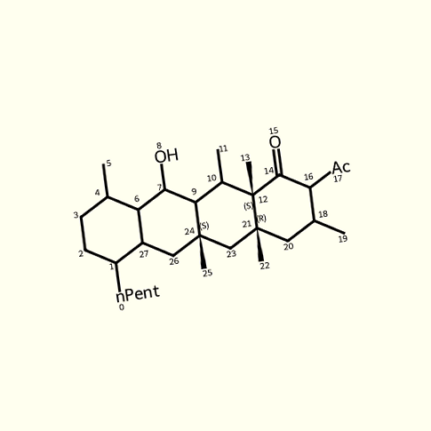 CCCCCC1CCC(C)C2C(O)C3C(C)[C@]4(C)C(=O)C(C(C)=O)C(C)C[C@]4(C)C[C@]3(C)CC12